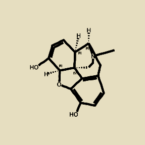 CN1CC[C@]23c4c5ccc(O)c4O[C@H]2C(O)=C=C[C@H]3[C@H]1C5